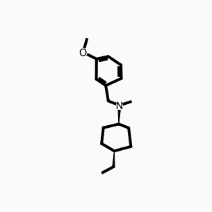 CC[C@H]1CC[C@@H](N(C)Cc2cccc(OC)c2)CC1